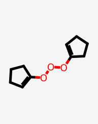 C1=C(OOOC2=CCCC2)CCC1